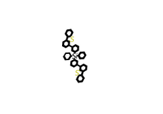 C1=CCCC([Si](c2ccccc2)(c2cccc(-c3cccc4c3sc3ccccc34)c2)c2cccc(-c3cccc4c3sc3ccccc34)c2)=C1